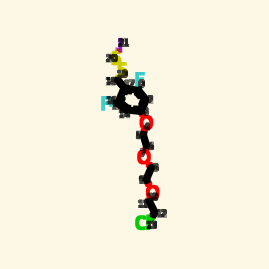 Fc1cc(OCCOCCOCCCl)cc(F)c1CSSI